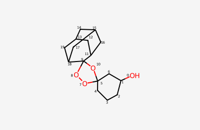 OC1CCCC2(C1)OOC1(O2)C2CC3CC(C2)CC1C3